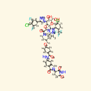 Cc1nc([C@@H]2O[C@H](CO)[C@H](O)[C@H](n3cc(-c4cc(F)c(Cl)c(F)c4)nn3)[C@H]2OCC(=O)N2CCC(COc3ccc(C(=O)Nc4ccc5c(c4)CN(C4CCC(=O)NC4=O)C5=O)cc3)CC2)n(-c2cc(Cl)ccc2C(F)(F)F)n1